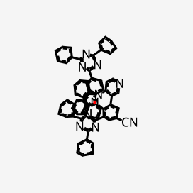 N#Cc1cc(-c2nc(-c3ccccc3)nc(-c3ccccc3)n2)c(-n2c3ccccc3c3cc(-c4nc(-c5ccccc5)nc(-c5ccccc5)n4)ccc32)c(-c2cnccc2-n2c3ccccc3c3ccccc32)c1